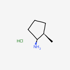 C[C@@H]1CCC[C@@H]1N.Cl